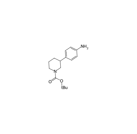 CC(C)(C)OC(=O)N1CCCC(c2ccc(N)cc2)C1